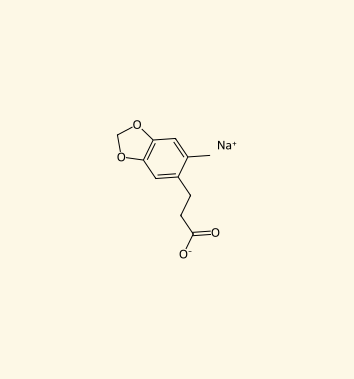 Cc1cc2c(cc1CCC(=O)[O-])OCO2.[Na+]